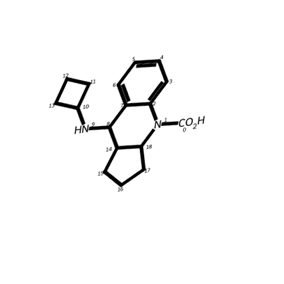 O=C(O)N1c2ccccc2C(NC2CCC2)C2CCCC21